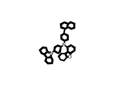 C1=Cc2c(oc3cccc(N(c4ccc(-c5cccc6ccccc56)cc4)c4ccc(-n5c6ccccc6c6ccccc65)cc4)c23)CC1